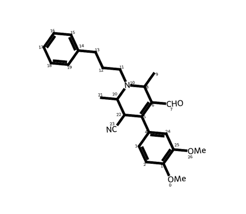 COc1ccc(C2=C(C=O)C(C)N(CCCc3ccccc3)C(C)C2C#N)cc1OC